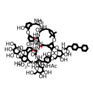 CC(=O)NC1C(O)[C@H](O)C(CO)O[C@H]1O[C@@H]1C2=CC=C(Oc3cc4cc(c3O[C@@H]3OC(CO)[C@@H](O)C(O)C3NC(=O)Cc3ccc(-c5ccccc5)cc3)OC3=C(C)C=C(CC3C)C[C@H]3NC(=O)[C@H](N)c5ccc(O)c(c5)Oc5cc(O)cc(c5)[C@H](NC3=O)C(=O)N[C@H]4C(=O)N[C@H]3C(=O)N[C@@H]1C(=O)N[C@H](C(=O)O)C1=CC(O)C(C)C(O[C@H]4OC(CO)[C@@H](O)C(O)C4O)=C1C1CC3=CC=C1CO)[C@@H](Cl)C2